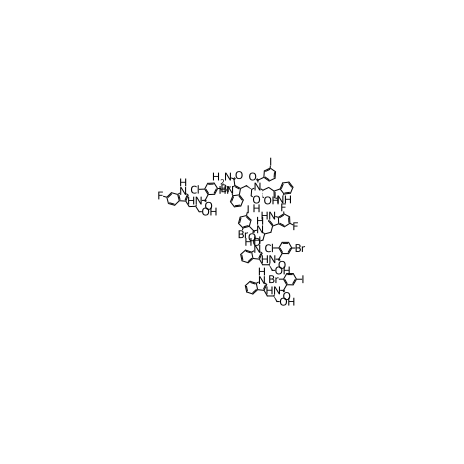 NC(=O)c1[nH]c2ccccc2c1C[C@H](CO)N(C(=O)c1cccc(I)c1)[C@@H](CO)Cc1c[nH]c2ccccc12.O=C(NC(CO)Cc1c[nH]c2c(F)cc(F)cc12)c1cc(I)ccc1Br.O=C(NC(CO)Cc1c[nH]c2cc(F)ccc12)c1cc(Br)ccc1Cl.O=C(N[C@@H](CO)Cc1c[nH]c2ccccc12)c1cc(Br)ccc1Cl.O=C(N[C@@H](CO)Cc1c[nH]c2ccccc12)c1cc(I)ccc1Br